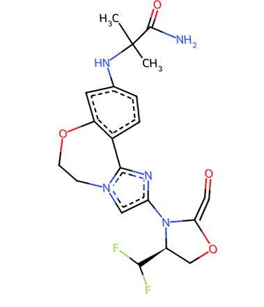 CC(C)(Nc1ccc2c(c1)OCCn1cc(N3C(=C=O)OC[C@H]3C(F)F)nc1-2)C(N)=O